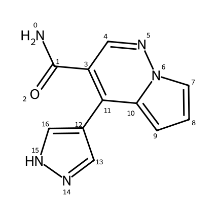 NC(=O)c1cnn2cccc2c1-c1cn[nH]c1